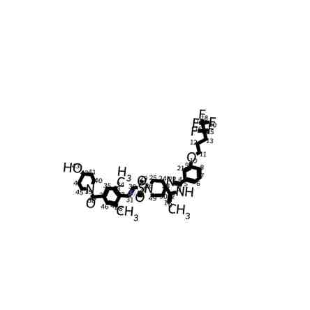 CC=C1NC(c2cccc(OCCCC(F)(F)C(F)(F)F)c2)=NC12CCN(S(=O)(=O)/C=C/c1c(C)cc(C(=O)N3CCC(O)CC3)cc1C)CC2